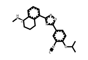 [C-]#[N+]c1cc(-c2nc(-c3cccc4c3CCC[C@H]4NC)no2)ccc1OC(C)C